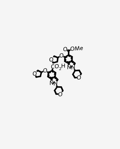 COC(=O)c1cc2cn(C3CCOCC3)nc2cc1OC1CCOC1.O=C(O)c1cc2cn(C3CCOCC3)nc2cc1OC1CCOC1